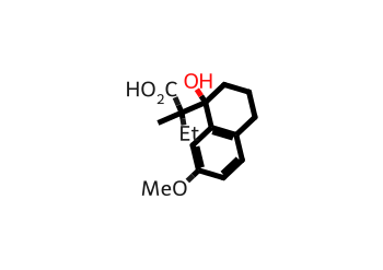 CCC(C)(C(=O)O)C1(O)CCCc2ccc(OC)cc21